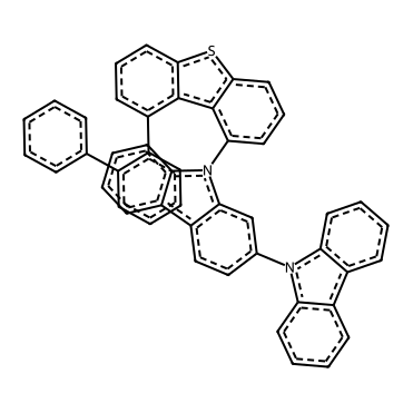 c1ccc(-c2ccccc2-c2cccc3sc4cccc(-n5c6ccccc6c6ccc(-n7c8ccccc8c8ccccc87)cc65)c4c23)cc1